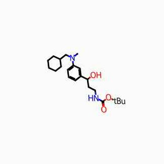 CN(CC1CCCCC1)c1cccc(C(O)CCNC(=O)OC(C)(C)C)c1